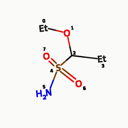 CCOC(CC)S(N)(=O)=O